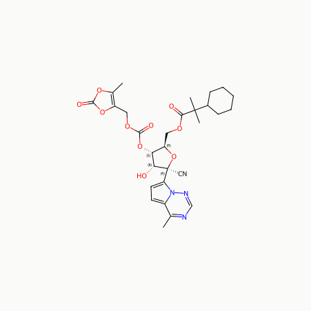 Cc1oc(=O)oc1COC(=O)O[C@H]1[C@@H](O)[C@](C#N)(c2ccc3c(C)ncnn23)O[C@@H]1COC(=O)C(C)(C)C1CCCCC1